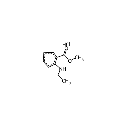 CCNc1ccccc1C(=O)OC.Cl